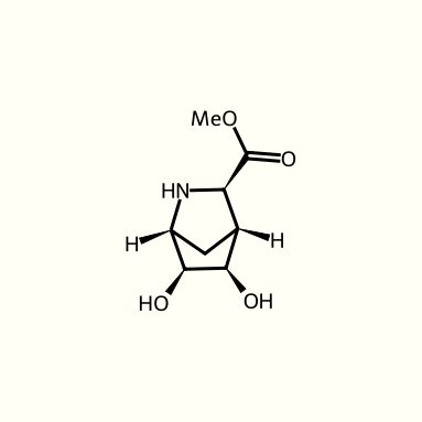 COC(=O)[C@@H]1N[C@@H]2C[C@H]1[C@@H](O)[C@H]2O